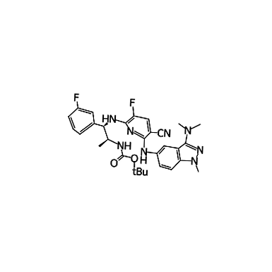 C[C@H](NC(=O)OC(C)(C)C)[C@H](Nc1nc(Nc2ccc3c(c2)c(N(C)C)nn3C)c(C#N)cc1F)c1cccc(F)c1